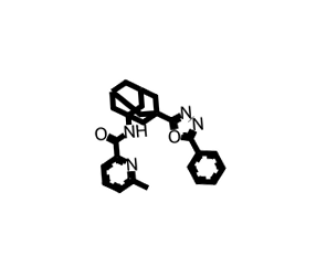 Cc1cccc(C(=O)NC23CC4CC(C2)CC(c2nnc(-c5ccccc5)o2)(C4)C3)n1